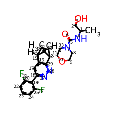 CC(CO)NC(=O)N1CCO[C@H](C23CC[C@@H](c4cc(-c5c(F)cccc5F)nnc42)C3(C)C)C1